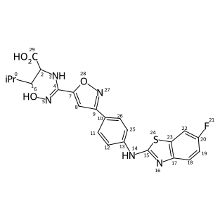 CC(C)CC(NC(=NO)c1cc(-c2ccc(Nc3nc4ccc(F)cc4s3)cc2)no1)C(=O)O